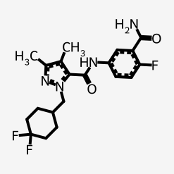 Cc1nn(CC2CCC(F)(F)CC2)c(C(=O)Nc2ccc(F)c(C(N)=O)c2)c1C